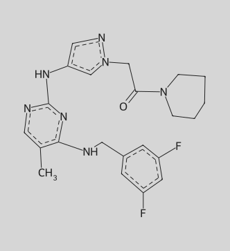 Cc1cnc(Nc2cnn(CC(=O)N3CCCCC3)c2)nc1NCc1cc(F)cc(F)c1